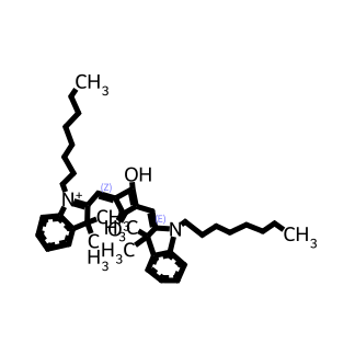 CCCCCCCCN1/C(=C/C2=C(O)C(=C/C3=[N+](CCCCCCCC)c4ccccc4C3(C)C)/C2=O)C(C)(C)c2ccccc21